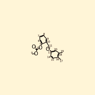 COC(=O)Oc1ccccc1COc1ccc(C)c(C)c1